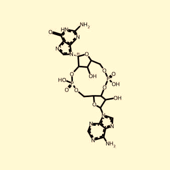 Nc1nc2c(ncn2[C@@H]2OC3COP(=O)(O)OC4C(COP(=O)(O)OC2C3O)OC(n2cnc3c(N)ncnc32)C4O)c(=O)[nH]1